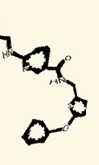 CCOCNc1ccc(C(=O)NCc2ccc(Oc3ccccc3)s2)cn1